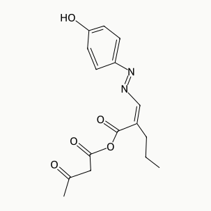 CCCC(=CN=Nc1ccc(O)cc1)C(=O)OC(=O)CC(C)=O